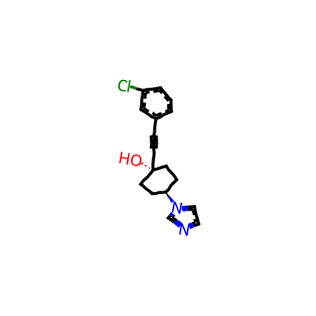 O[C@]1(C#Cc2cccc(Cl)c2)CC[C@@H](n2ccnc2)CC1